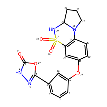 O=c1[nH]nc(-c2cccc(Oc3ccc4c(c3)S(=O)(=O)NC3CCCN43)c2)o1